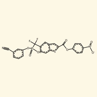 N#Cc1cccc(OP(=O)(O)C(F)(F)c2ccc3sc(C(=O)Oc4ccc([N+](=O)[O-])cc4)cc3c2)c1